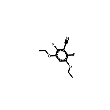 CCOc1cc(OCC)c(F)c(C#N)c1F